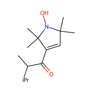 CC(C)C(C)C(=O)C1=CC(C)(C)N(O)C1(C)C